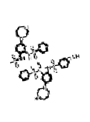 CCN(c1cc(N2CCCNCC2)ccc1NS(=O)(=O)c1ccccc1)S(=O)(=O)c1ccccc1.CS(=O)(=O)Nc1ccc(N2CCCNCC2)cc1NS(=O)(=O)c1ccccc1.Cl.Cl